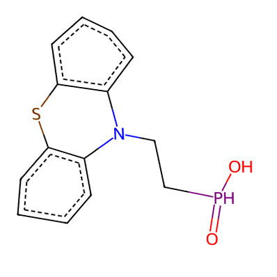 O=[PH](O)CCN1c2ccccc2Sc2ccccc21